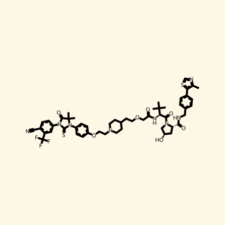 Cc1ncsc1-c1ccc(CNC(=O)[C@@H]2C[C@@H](O)CN2C(=O)[C@@H](NC(=O)COCCC2CCN(CCOc3ccc(N4C(=S)N(c5ccc(C#N)c(C(F)(F)F)c5)C(=O)C4(C)C)cc3)CC2)C(C)(C)C)cc1